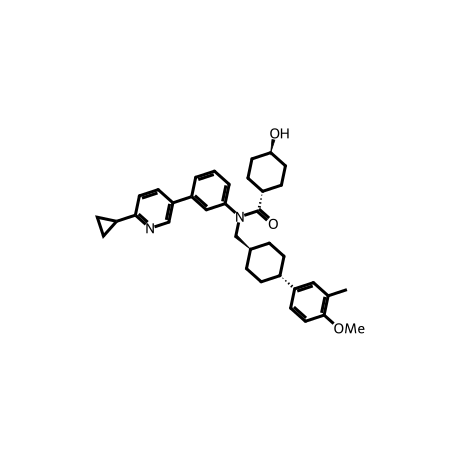 COc1ccc([C@H]2CC[C@H](CN(c3cccc(-c4ccc(C5CC5)nc4)c3)C(=O)[C@H]3CC[C@H](O)CC3)CC2)cc1C